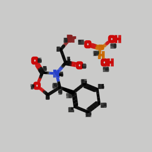 O=C(CBr)N1C(=O)OC[C@@H]1c1ccccc1.O=[PH](O)O